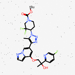 Cc1c(-c2cc(OCC(C)(O)c3ccc(F)cn3)c3ccnn3c2)nnn1[C@@H]1CCN(C(=O)OC(C)(C)C)CC1(F)F